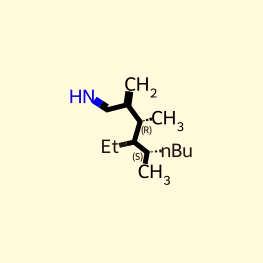 C=C(C=N)[C@H](C)C(CC)[C@@H](C)CCCC